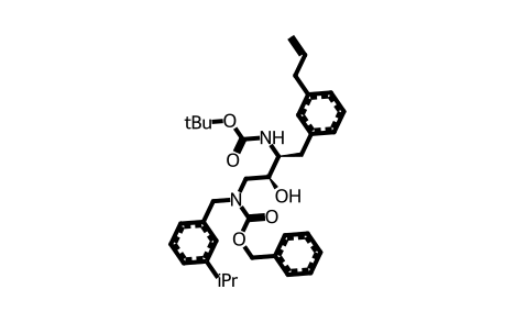 C=CCc1cccc(C[C@H](NC(=O)OC(C)(C)C)[C@@H](O)CN(Cc2cccc(C(C)C)c2)C(=O)OCc2ccccc2)c1